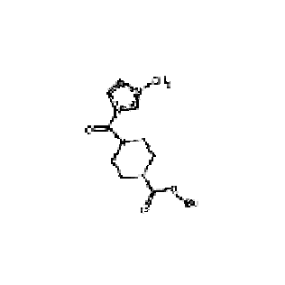 C[n+]1ccn(C(=O)N2CCN(C(=O)OC(C)(C)C)CC2)c1